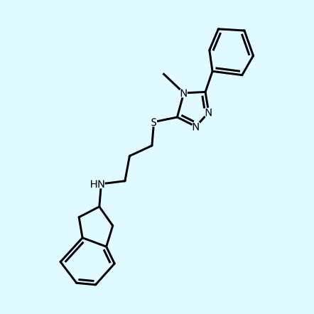 Cn1c(SCCCNC2Cc3ccccc3C2)nnc1-c1ccccc1